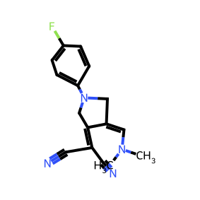 CN(C)/C=C1/CN(c2ccc(F)cc2)CC1=C(C#N)C#N